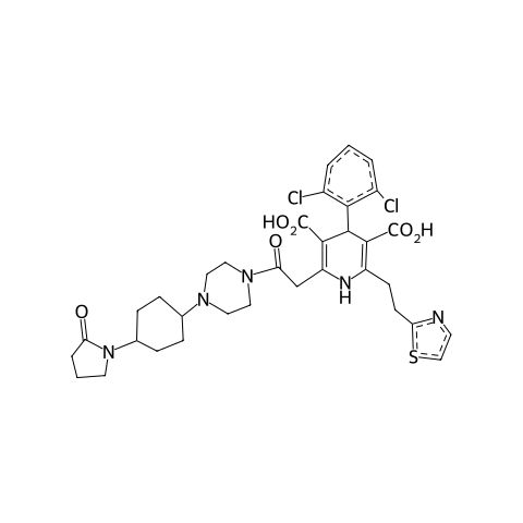 O=C(O)C1=C(CCc2nccs2)NC(CC(=O)N2CCN(C3CCC(N4CCCC4=O)CC3)CC2)=C(C(=O)O)C1c1c(Cl)cccc1Cl